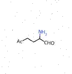 CC(=O)CCC(N)C=O